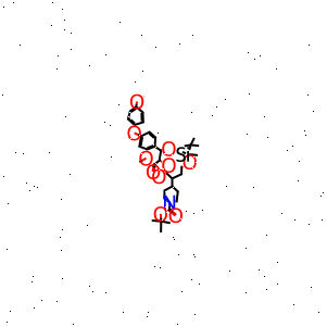 COC(=O)C(OC(=O)C(CCO[Si](C)(C)C(C)(C)C)C1CCN(C(=O)OC(C)(C)C)CC1)C(=O)c1ccc(Oc2ccc(OC)cc2)cc1